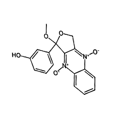 COC1(c2cccc(O)c2)OCc2c1[n+]([O-])c1ccccc1[n+]2[O-]